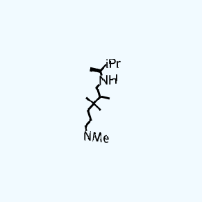 C=C(NCC(C)C(C)(C)CCCNC)C(C)C